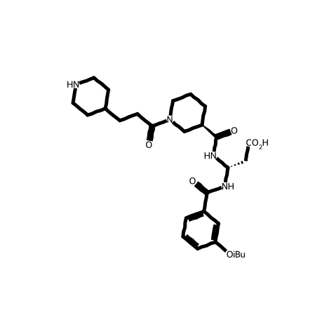 CC(C)COc1cccc(C(=O)N[C@@H](CC(=O)O)NC(=O)[C@@H]2CCCN(C(=O)CCC3CCNCC3)C2)c1